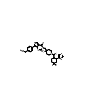 O=C(C1CCC(F)(F)CC1c1cocn1)N1CCC(O)(Cn2cnc3c(-c4ccc(CO)cc4)scc3c2=O)CC1